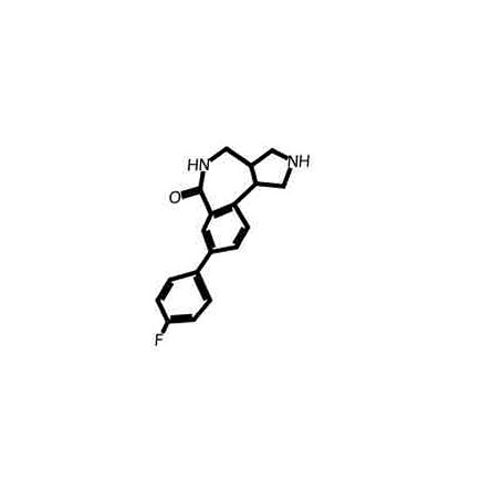 O=C1NCC2CNCC2c2ccc(-c3ccc(F)cc3)cc21